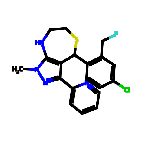 Cn1nc(-c2ccccn2)c2c1NCCSC2c1ccc(Cl)cc1CF